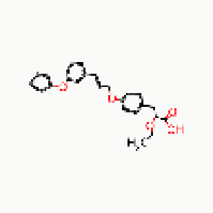 CCO[C@@H](Cc1ccc(OCC=Cc2cccc(Oc3ccccc3)c2)cc1)C(=O)O